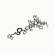 COC(=O)CCCn1ccc2c(C(=O)N3CCC4(CC3)CN/C(=N\C(=O)C3=NC(Cl)C(N)N=C3N)N4)cccc21